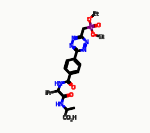 CCOP(=O)(Cc1nnc(-c2ccc(C(=O)NC(C(=O)NC(C)C(=O)O)C(C)C)cc2)nn1)OCC